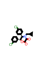 O=C1O[C@H](c2cccc(Cl)c2)[C@@H](c2ccc(Cl)cc2)N(CC2CC2)C1=O